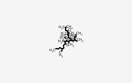 C=C(CCC(CC)CCCC)/C(=C(/N)C(=O)CCC(CC)CCCC)N(N)C(C(C)(C)C)C(C)(C)C(C)(C)C(Cl)CC(C)C